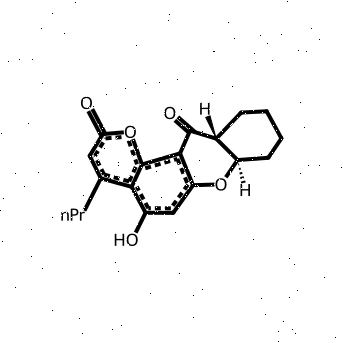 CCCc1cc(=O)oc2c3c(cc(O)c12)O[C@@H]1CCCC[C@H]1C3=O